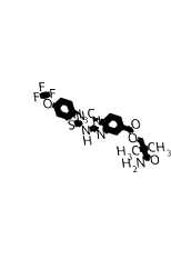 Cn1c(Nc2nc3ccc(OC(F)(F)F)cc3s2)nc2cc(C(=O)OCC(C)(C)C(N)=O)ccc21